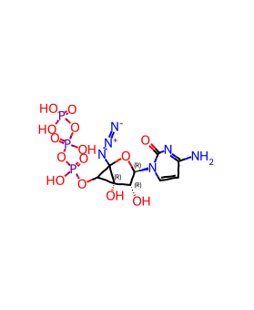 [N-]=[N+]=NC12O[C@@H](n3ccc(N)nc3=O)[C@H](O)[C@@]1(O)C2OP(=O)(O)OP(=O)(O)OP(=O)(O)O